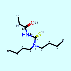 CCCCN(CCCC)C(=S)NC(=O)CC